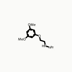 CCCNCCOc1cc(OC)cc(OC)c1